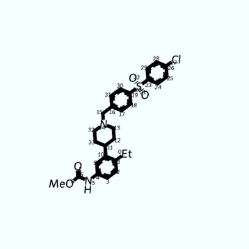 CCc1ccc(NC(=O)OC)cc1C1CCN(Cc2ccc(S(=O)(=O)c3ccc(Cl)cc3)cc2)CC1